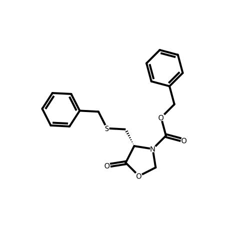 O=C1OCN(C(=O)OCc2ccccc2)[C@H]1CSCc1ccccc1